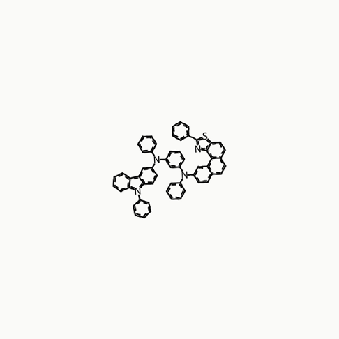 c1ccc(-c2nc3c(ccc4ccc5ccc(N(c6ccccc6)c6cccc(N(c7ccccc7)c7ccc8c(c7)c7ccccc7n8-c7ccccc7)c6)cc5c43)s2)cc1